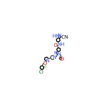 N#Cc1n[nH]c2ccc(NC(=O)c3ccc4c(c3)nc(CN3CCC(c5cccc(OCc6ccc(Cl)cc6F)n5)CC3)n4C[C@@H]3CCO3)cc12